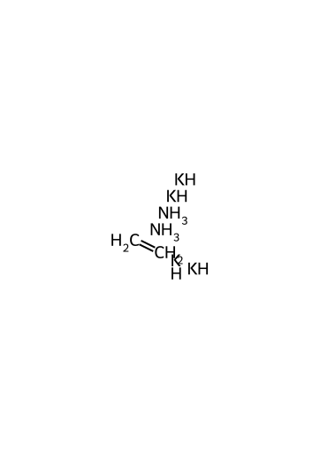 C=C.N.N.[KH].[KH].[KH].[KH]